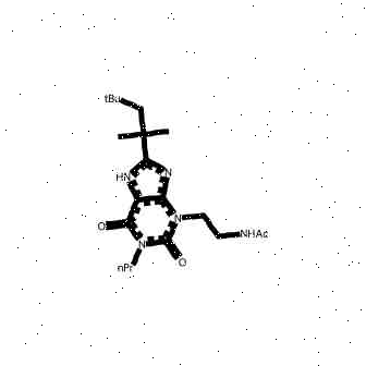 CCCn1c(=O)c2[nH]c(C(C)(C)CC(C)(C)C)nc2n(CCNC(C)=O)c1=O